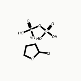 ClC1CCCO1.O=P(O)(O)OP(=O)(O)O